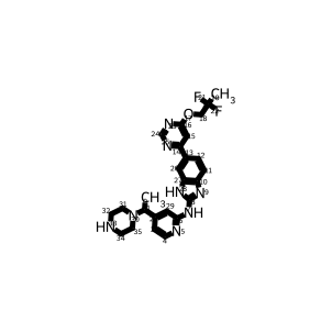 CC(c1ccnc(Nc2nc3ccc(-c4cc(OCC(C)(F)F)ncn4)cc3[nH]2)c1)N1CCNCC1